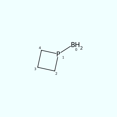 BP1CCC1